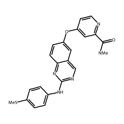 CNC(=O)c1cc(Oc2ccc3nc(Nc4ccc(SC)cc4)ncc3c2)ccn1